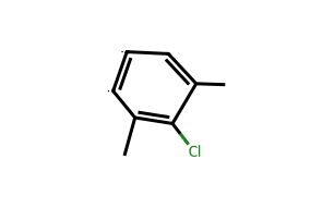 Cc1[c][c]cc(C)c1Cl